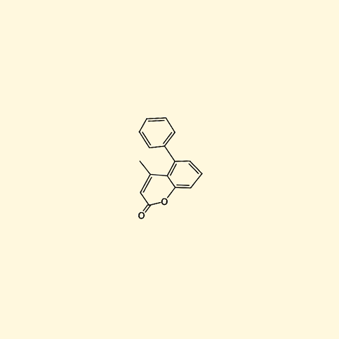 Cc1cc(=O)oc2cccc(-c3ccccc3)c12